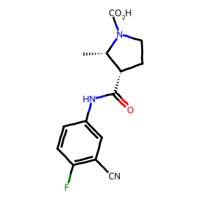 C[C@H]1[C@@H](C(=O)Nc2ccc(F)c(C#N)c2)CCN1C(=O)O